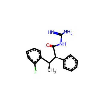 C[C@@H](c1ccccc1F)[C@@H](C(=O)NC(=N)N)c1ccccc1